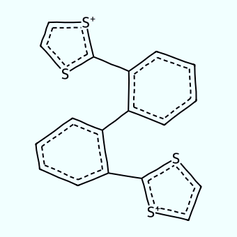 c1ccc(-c2ccccc2-c2scc[s+]2)c(-c2scc[s+]2)c1